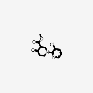 COC(=O)C1CN(c2ncccc2Cl)CCC1=O